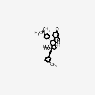 CN(C)c1ccc([C@H]2C[C@@]3(C)[C@@H](CC[C@@]3(O)C#Cc3cccc(C(F)(F)F)c3)[C@@H]3OCC4=CC(=O)CCC4=C32)cc1